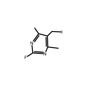 Cc1nc(F)nc(C)c1CI